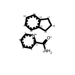 NC(=O)c1ccccn1.c1ccc2c(c1)CCC2